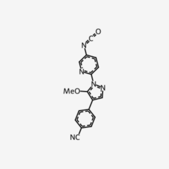 COc1c(-c2ccc(C#N)cc2)cnn1-c1ccc(N=C=O)cn1